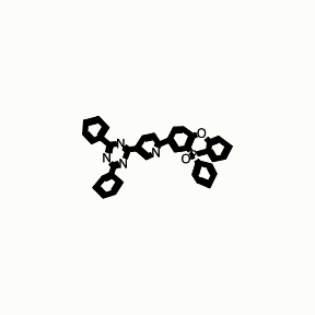 O=P1(c2ccccc2)c2ccccc2Oc2ccc(-c3ccc(-c4nc(-c5ccccc5)nc(-c5ccccc5)n4)cn3)cc21